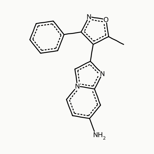 Cc1onc(-c2ccccc2)c1-c1cn2ccc(N)cc2n1